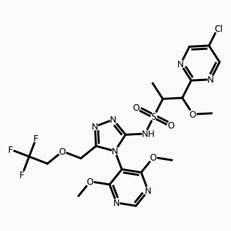 COc1ncnc(OC)c1-n1c(COCC(F)(F)F)nnc1NS(=O)(=O)C(C)C(OC)c1ncc(Cl)cn1